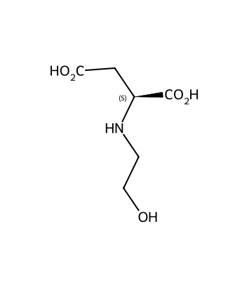 O=C(O)C[C@H](NCCO)C(=O)O